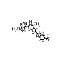 C[C@H](NC(=O)c1ncnc2c1cnn2C)c1cc(-c2nc3ccc(C(F)(F)F)cc3[nH]2)on1